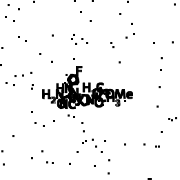 COCC(C)(C)OC(=O)N1CCC(CC#N)(n2cc(C(N)=O)c(Nc3c#cc(F)cc3)n2)CC1